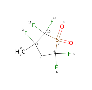 CC1(F)CC(F)(F)S(=O)(=O)C1(F)F